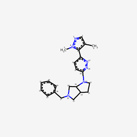 Cc1cnn(C)c1-c1ccc(N2CCC3CN(Cc4ccccc4)CC32)nn1